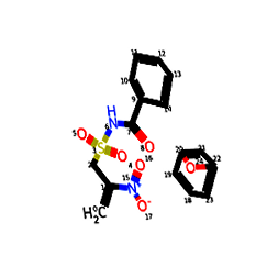 C=C(CS(=O)(=O)NC(=O)c1ccccc1)[N+](=O)[O-].c1cc2cc(c1)O2